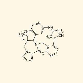 CC(C)Nc1cc(C2N(Cc3ccccc3CO)C(=O)c3cccn3CC23CNC3)c(Cl)cn1